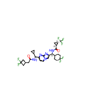 O=C(CC1CC(F)(F)C1)N[C@@H](c1ccn2cc([C@@H](NC(=O)[C@H]3C[C@@H]3C(F)(F)F)C3CCC(F)(F)CC3)nc2n1)C1CC1